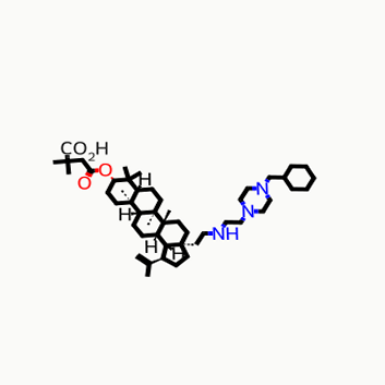 C=C(C)[C@@H]1CC[C@]2(CCNCCN3CCN(CC4CCCCC4)CC3)CC[C@]3(C)[C@H](CC[C@@H]4[C@@]5(C)CC[C@H](OC(=O)CC(C)(C)C(=O)O)C(C)(C)[C@@H]5CC[C@]43C)[C@@H]12